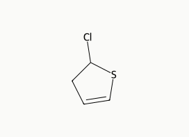 ClC1CC=CS1